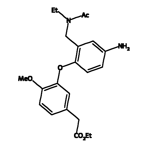 CCOC(=O)Cc1ccc(OC)c(Oc2ccc(N)cc2CN(CC)C(C)=O)c1